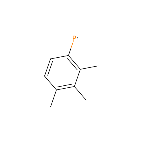 Cc1ccc([P])c(C)c1C